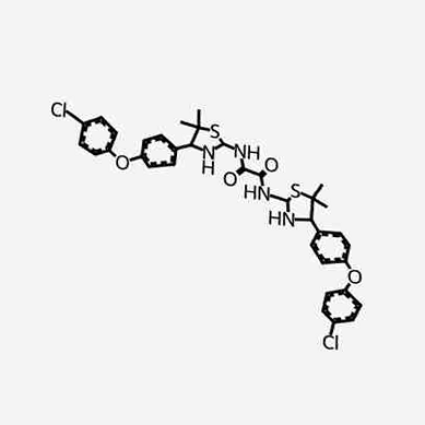 CC1(C)SC(NC(=O)C(=O)NC2NC(c3ccc(Oc4ccc(Cl)cc4)cc3)C(C)(C)S2)NC1c1ccc(Oc2ccc(Cl)cc2)cc1